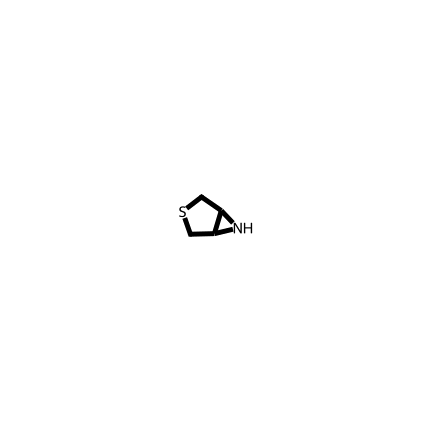 C1SCC2NC12